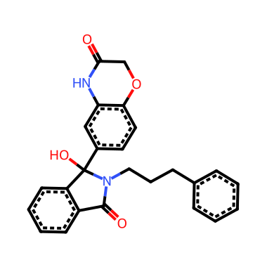 O=C1COc2ccc(C3(O)c4ccccc4C(=O)N3CCCc3ccccc3)cc2N1